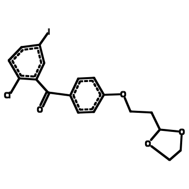 O=C(c1ccc(OCCC2OCCO2)cc1)c1cc(I)ccc1Cl